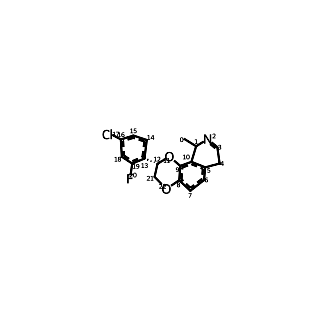 CC1N=CCc2ccc3c(c21)O[C@@H](c1ccc(Cl)cc1F)CO3